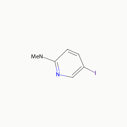 CNc1ccc(I)cn1